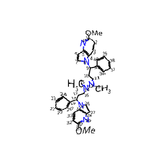 COc1ccc2c(ccn2C(CCN(C)N(C)CCC(c2ccccc2)n2ccc3nc(OC)ccc32)c2ccccc2)n1